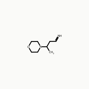 CC(CC=N)N1CCOCC1